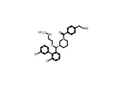 CCc1cccc(-c2c(Cl)cccc2C(OCCNC(=O)O)[C@@H]2CCCN(C(=O)c3ccc(CNC)cc3)C2)c1